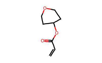 C=CC(=O)OC1CCOCC1